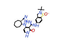 CC(C)(C)N1Cc2cc(NC(=N)c3c(N[C@H]4CCCCC[C@H]4C#N)cc[nH]c3=O)ccc2[S+]1[O-]